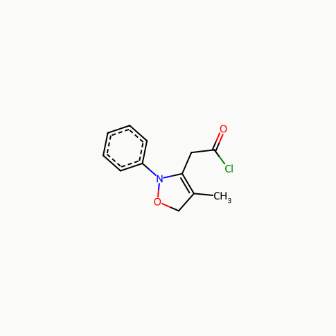 CC1=C(CC(=O)Cl)N(c2ccccc2)OC1